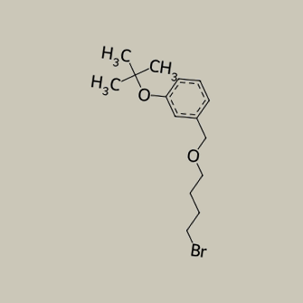 CC(C)(C)Oc1cccc(COCCCCBr)c1